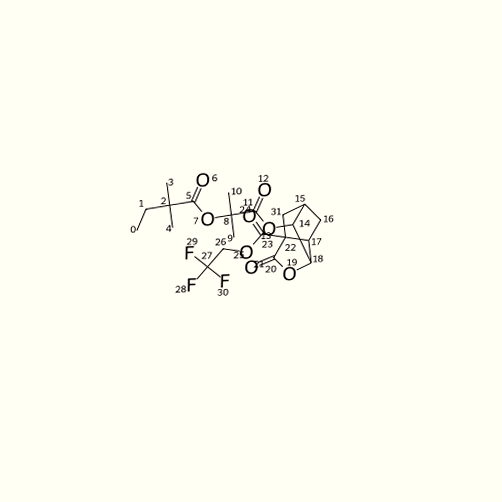 CCC(C)(C)C(=O)OC(C)(C)C(=O)OC1C2CC3C1OC(=O)C3(C(=O)OCC(F)(F)F)C2